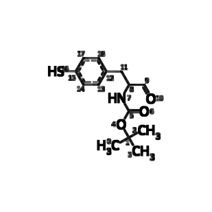 CC(C)(C)OC(=O)NC(C=O)Cc1ccc(S)cc1